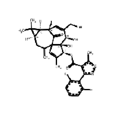 CC1=CC23C(=O)[C@@H](C=C(CO)[C@@H](O)[C@]2(O)[C@H]1OC(=O)c1c(-c2c(F)cccc2Cl)noc1C)[C@H]1[C@@H](CC3C)C1(C)C